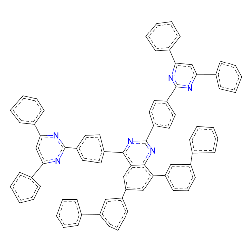 c1ccc(-c2cccc(-c3cc(-c4cccc(-c5ccccc5)c4)c4nc(-c5ccc(-c6nc(-c7ccccc7)cc(-c7ccccc7)n6)cc5)nc(-c5ccc(-c6nc(-c7ccccc7)cc(-c7ccccc7)n6)cc5)c4c3)c2)cc1